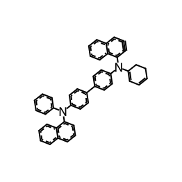 c1cc2ccccc2c(N(C2=CC=CCC2)c2ccc(-c3ccc(N(c4ccccc4)c4cccc5ccccc45)cc3)cc2)c#1